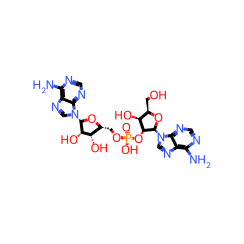 Nc1ncnc2c1ncn2[C@@H]1O[C@H](COP(=O)(O)O[C@H]2[C@@H](O)[C@@H](CO)O[C@H]2n2cnc3c(N)ncnc32)[C@H](O)[C@@H]1O